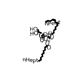 CCCCC/C=C\C/C=C\C/C=C\CCCCC(=O)O[C@H](COC(=O)CCCCCCC/C=C\CCCCCCC)COP(=O)(O)OC[C@@H](O)CO